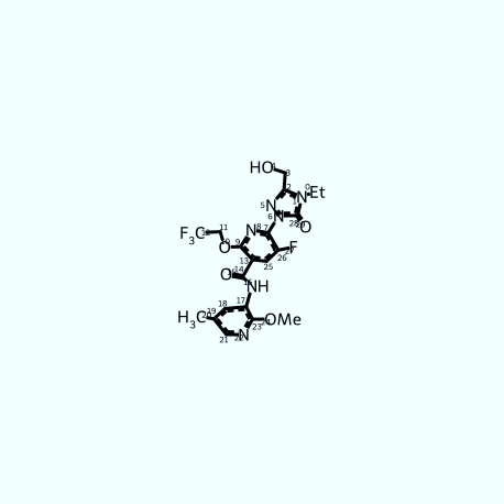 CCn1c(CO)nn(-c2nc(OCC(F)(F)F)c(C(=O)Nc3cc(C)cnc3OC)cc2F)c1=O